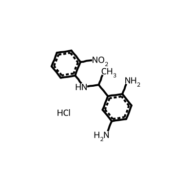 CC(Nc1ccccc1[N+](=O)[O-])c1cc(N)ccc1N.Cl